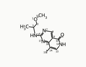 COCC(C)Nc1ncc2c(=O)[nH]cc(I)c2n1